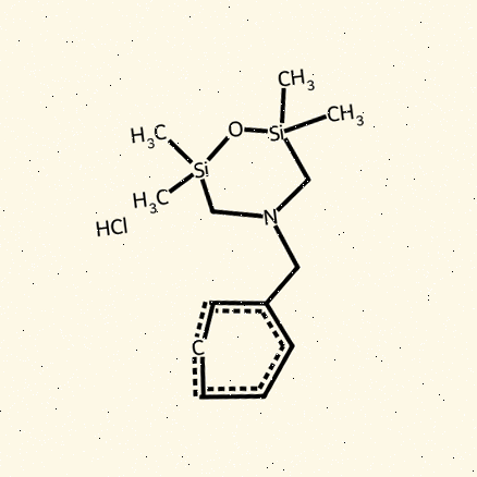 C[Si]1(C)CN(Cc2ccccc2)C[Si](C)(C)O1.Cl